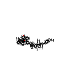 CN(CCN1CCC(OC(=O)N(c2ccccc2-c2ccccc2)N(C(=O)O)c2ccccc2-c2ccccc2)CC1)C(=O)c1cccc(NC(=O)CNCCc2ccc(O)cc2)c1